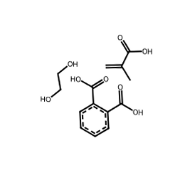 C=C(C)C(=O)O.O=C(O)c1ccccc1C(=O)O.OCCO